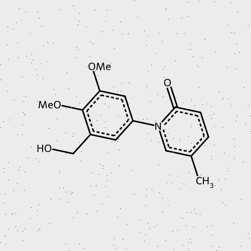 COc1cc(-n2cc(C)ccc2=O)cc(CO)c1OC